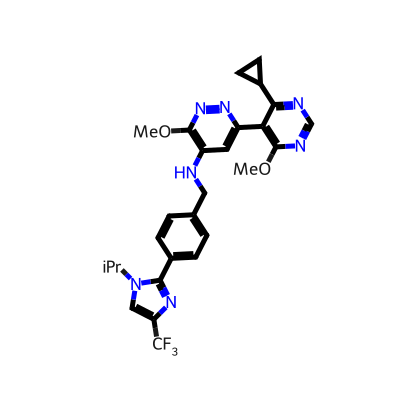 COc1nnc(-c2c(OC)ncnc2C2CC2)cc1NCc1ccc(-c2nc(C(F)(F)F)cn2C(C)C)cc1